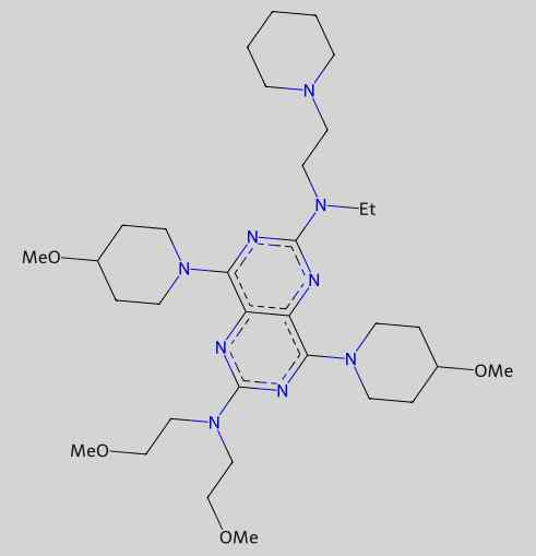 CCN(CCN1CCCCC1)c1nc(N2CCC(OC)CC2)c2nc(N(CCOC)CCOC)nc(N3CCC(OC)CC3)c2n1